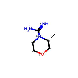 C[C@@H]1COCCN1C(=N)N